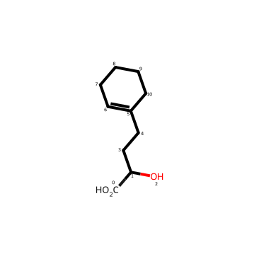 O=C(O)C(O)CCC1=CCCCC1